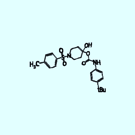 Cc1ccc(S(=O)(=O)N2CCC(O)(OC(=O)Nc3ccc(C(C)(C)C)cc3)CC2)cc1